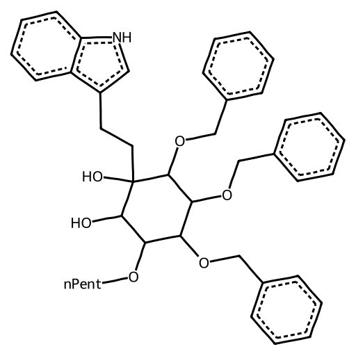 CCCCCOC1C(OCc2ccccc2)C(OCc2ccccc2)C(OCc2ccccc2)C(O)(CCc2c[nH]c3ccccc23)C1O